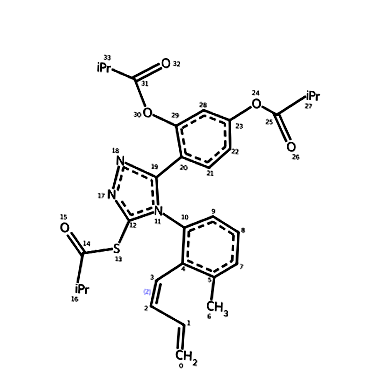 C=C/C=C\c1c(C)cccc1-n1c(SC(=O)C(C)C)nnc1-c1ccc(OC(=O)C(C)C)cc1OC(=O)C(C)C